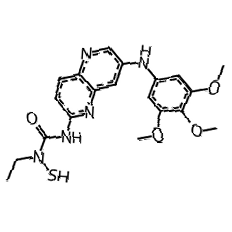 CCN(S)C(=O)Nc1ccc2ncc(Nc3cc(OC)c(OC)c(OC)c3)cc2n1